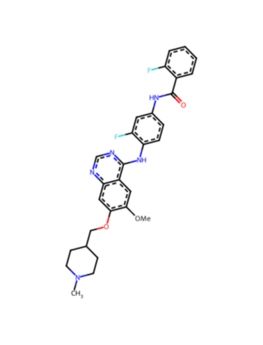 COc1cc2c(Nc3ccc(NC(=O)c4ccccc4F)cc3F)ncnc2cc1OCC1CCN(C)CC1